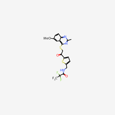 COc1ccc2nc(C)nc(SCC(=O)c3ccc(CNC(=O)C(F)(F)C(F)(F)F)s3)c2c1